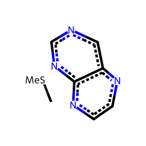 CSC.c1cnc2ncncc2n1